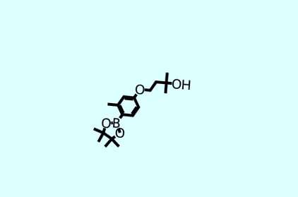 Cc1cc(OCCC(C)(C)O)ccc1B1OC(C)(C)C(C)(C)O1